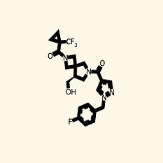 O=C(c1cnn(Cc2ccc(F)cc2)c1)N1C[C@@H](CO)C2(C1)CN(C(=O)C1(C(F)(F)F)CC1)C2